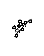 c1ccc(-c2nc(-c3ccccc3)nc(-c3cccc(-c4nc5cc(-c6cccnc6)ccc5c5c6ccccc6c6ccccc6c45)c3)n2)cc1